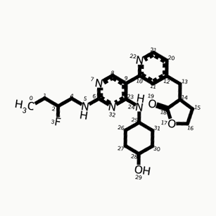 CCC(F)CNc1ncc(-c2cc(CC3CCOC3=O)ccn2)c(NC2CCC(O)CC2)n1